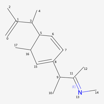 C=C(C)C(C)C1C=CC(C(C)/C(C)=N/C)=CC1C